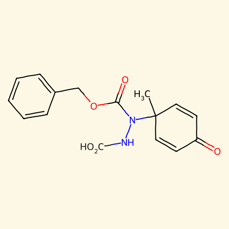 CC1(N(NC(=O)O)C(=O)OCc2ccccc2)C=CC(=O)C=C1